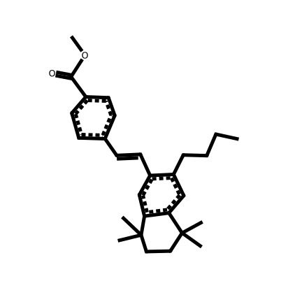 CCCCc1cc2c(cc1C=Cc1ccc(C(=O)OC)cc1)C(C)(C)CCC2(C)C